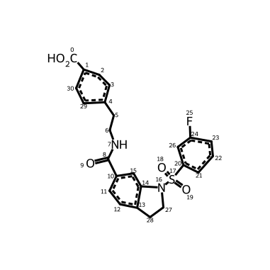 O=C(O)c1ccc(CCNC(=O)c2ccc3c(c2)N(S(=O)(=O)c2cccc(F)c2)CC3)cc1